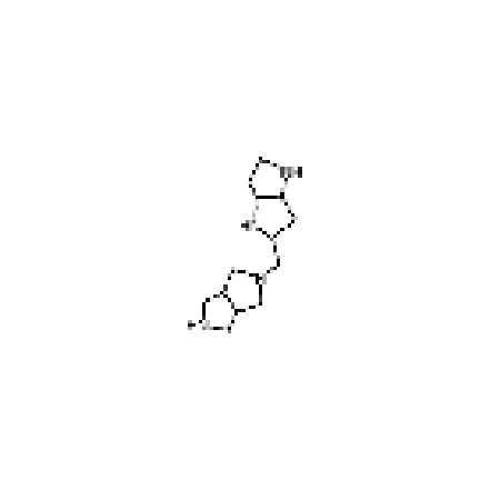 C1CC2NC(CN3CC4CNCC4C3)CC2N1